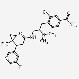 CN(C)C(CNC(=O)CC(c1cncc(F)c1)C1(C(F)(F)F)CC1)Cc1ccc(C(N)=O)cc1Cl